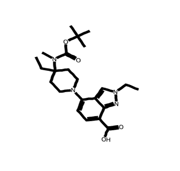 CCn1cc2c(N3CCC(CC)(N(C)C(=O)OC(C)(C)C)CC3)ccc(C(=O)O)c2n1